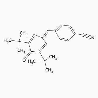 CC(C)(C)C1=CC(=Cc2ccc(C#N)cc2)C=C(C(C)(C)C)C1=O